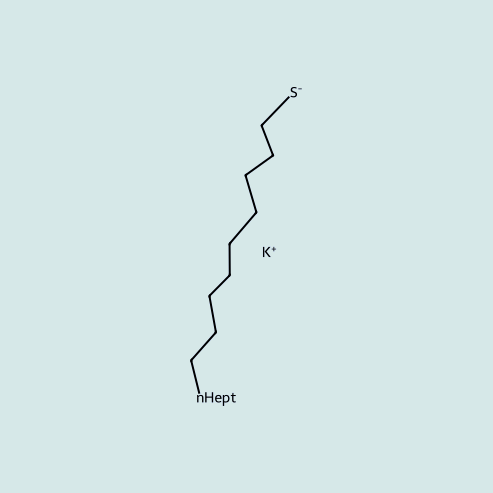 CCCCCCCCCCCCCCCC[S-].[K+]